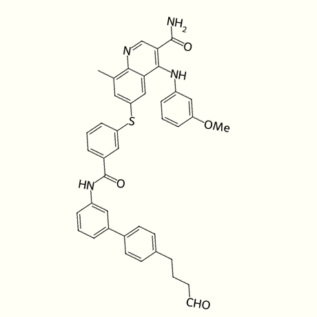 COc1cccc(Nc2c(C(N)=O)cnc3c(C)cc(Sc4cccc(C(=O)Nc5cccc(-c6ccc(CCCC=O)cc6)c5)c4)cc23)c1